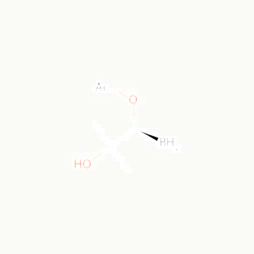 B[C@H](OC(C)=O)C(C)(C)O